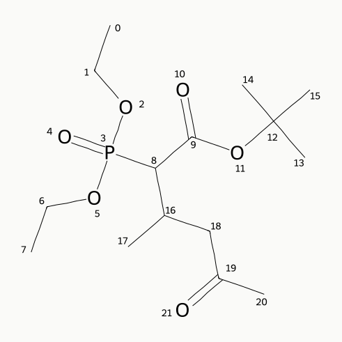 CCOP(=O)(OCC)C(C(=O)OC(C)(C)C)C(C)CC(C)=O